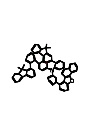 CC1(C)c2ccccc2-c2ccc(-c3ccccc3N(c3ccc(-c4ccccc4-c4cccc5c4C(C)(C)c4ccccc4-5)cc3)c3cccc(-c4cccc5oc6c7ccccc7ccc6c45)c3)cc21